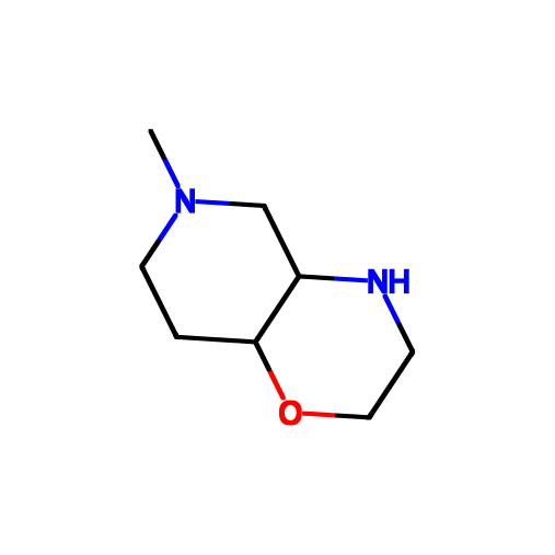 CN1CCC2OCCNC2C1